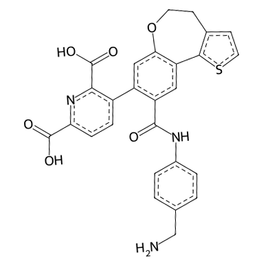 NCc1ccc(NC(=O)c2cc3c(cc2-c2ccc(C(=O)O)nc2C(=O)O)OCCc2ccsc2-3)cc1